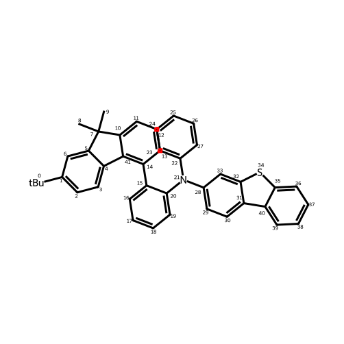 CC(C)(C)c1ccc2c(c1)C(C)(C)c1cccc(-c3ccccc3N(c3ccccc3)c3ccc4c(c3)sc3ccccc34)c1-2